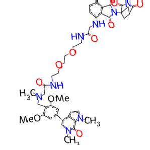 COc1cc(-c2cn(C)c(=O)c3c2ccn3C)cc(OC)c1CN(C)CC(=O)NCCOCCOCCNC(=O)CNc1cccc2c1C(=O)N(C13CC(C1)C(=O)NC3=O)C2=O